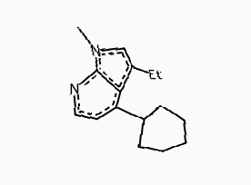 CCc1cn(C)c2nccc(C3CCCCC3)c12